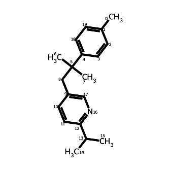 Cc1ccc(C(C)(C)Cc2ccc(C(C)C)nc2)cc1